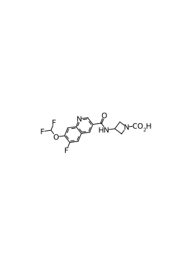 O=C(NC1CN(C(=O)O)C1)c1cnc2cc(OC(F)F)c(F)cc2c1